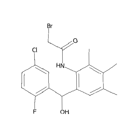 Cc1cc(C(O)c2cc(Cl)ccc2F)c(NC(=O)CBr)c(C)c1C